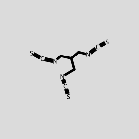 S=C=NCC(CN=C=S)CN=C=S